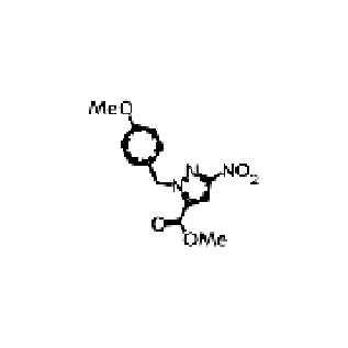 COC(=O)c1cc([N+](=O)[O-])nn1Cc1ccc(OC)cc1